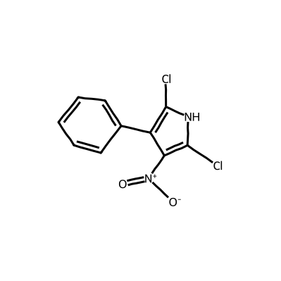 O=[N+]([O-])c1c(Cl)[nH]c(Cl)c1-c1ccccc1